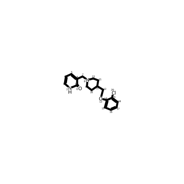 O=c1[nH]cccc1CN1CCC(COc2ccccc2Cl)CC1